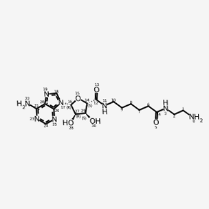 NCCNC(=O)CCCCCNC(=O)[C@H]1O[C@@H](n2cnc3c(N)ncnc32)[C@H](O)[C@@H]1O